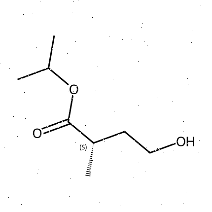 CC(C)OC(=O)[C@@H](C)CCO